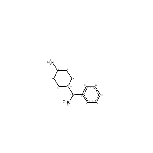 NC1CCN(N(C=O)c2ccccc2)CC1